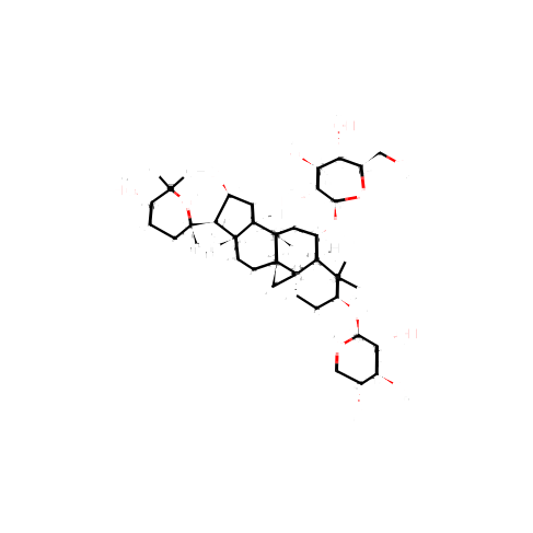 CC1(C)O[C@](C)([C@H]2[C@@H](O)C[C@@]3(C)[C@@H]4C[C@H](O[C@@H]5O[C@H](CO)[C@@H](O)[C@H](O)[C@H]5O)[C@H]5C(C)(C)[C@@H](O[C@@H]6OC[C@@H](O)[C@H](O)[C@H]6O)CC[C@@]56C[C@@]46CC[C@]23C)CC[C@@H]1O